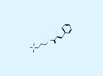 C[N+](C)(C)CCCNC(=O)/C=C/c1ccccc1.[Cl-]